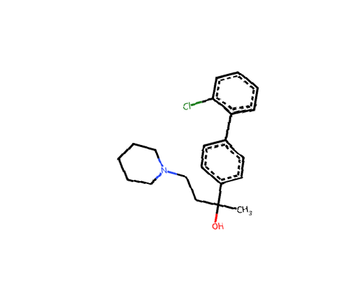 CC(O)(CCN1CCCCC1)c1ccc(-c2ccccc2Cl)cc1